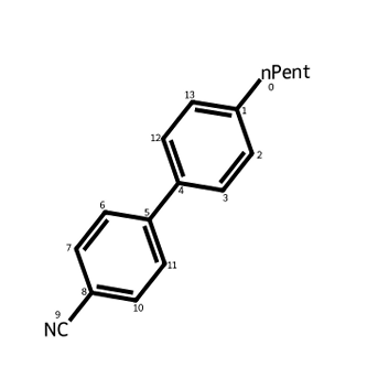 CCCCCc1ccc(-c2ccc(C#N)cc2)cc1